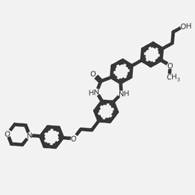 COc1cc(-c2ccc3c(c2)Nc2ccc(CCOc4ccc(N5CCOCC5)cc4)cc2NC3=O)ccc1CCO